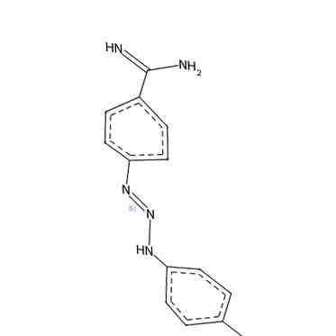 Cc1ccc(N/N=N/c2ccc(C(=N)N)cc2)cc1